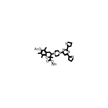 CCCOC(=O)C1(C)Oc2c(C)c(C)c(OC(C)=O)c(C)c2CC1N1CCN(c2cc(C3=NCCC3)nc(C3=NCCC3)n2)CC1